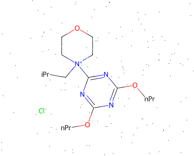 CCCOc1nc(OCCC)nc([N+]2(CC(C)C)CCOCC2)n1.[Cl-]